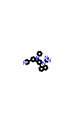 c1ccc(-n2c3ccc(-c4ccncc4)cc3c3cc4c(cc32)N(c2cncnc2)c2cccc3cccc-4c23)cc1